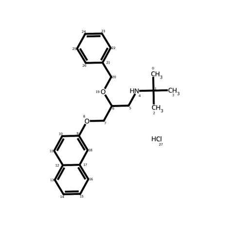 CC(C)(C)NCC(COc1ccc2ccccc2c1)OCc1ccccc1.Cl